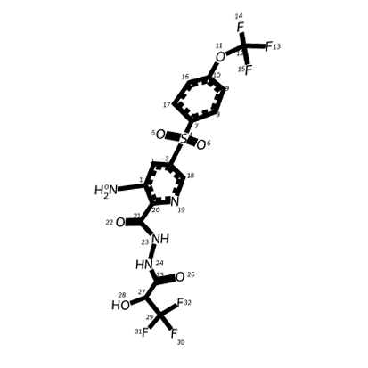 Nc1cc(S(=O)(=O)c2ccc(OC(F)(F)F)cc2)cnc1C(=O)NNC(=O)C(O)C(F)(F)F